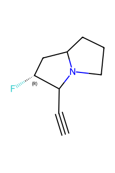 C#CC1[C@H](F)CC2CCCN21